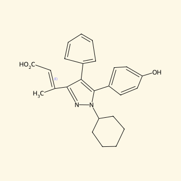 C/C(=C\C(=O)O)c1nn(C2CCCCC2)c(-c2ccc(O)cc2)c1-c1ccccc1